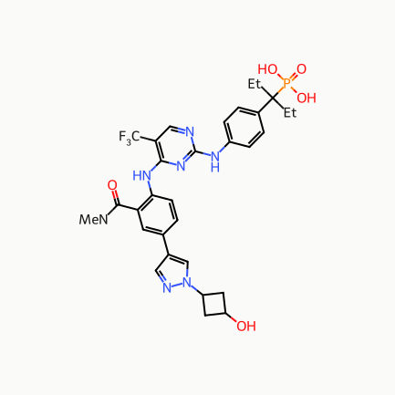 CCC(CC)(c1ccc(Nc2ncc(C(F)(F)F)c(Nc3ccc(-c4cnn(C5CC(O)C5)c4)cc3C(=O)NC)n2)cc1)P(=O)(O)O